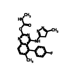 CNC(=O)Oc1nc(NC2=NN=C(C)C2)c2c(-c3ccc(F)cc3)c(C)ccc2n1